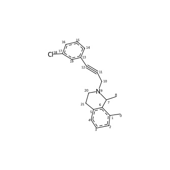 Cc1cccc2c1C(C)N(CC#Cc1cccc(Cl)c1)CC2